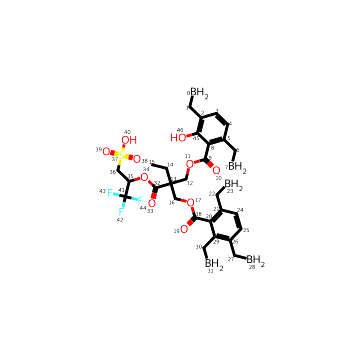 BCc1ccc(CB)c(C(=O)OCC(CC)(COC(=O)c2c(CB)ccc(CB)c2CB)C(=O)OC(CS(=O)(=O)O)C(F)(F)F)c1O